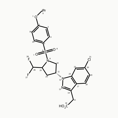 CC(C)Oc1ccc(S(=O)(=O)N2C[C@H](n3nc(CC(=O)O)c4ccc(Cl)cc43)CC2C(F)F)cc1